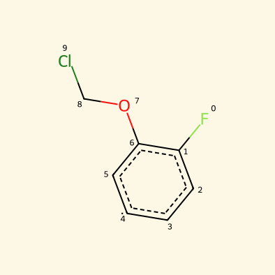 Fc1cc[c]cc1OCCl